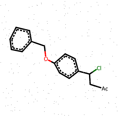 CC(=O)CC(Cl)c1ccc(OCc2ccccc2)cc1